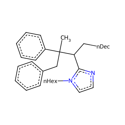 CCCCCCCCCCCC(c1nccn1CCCCCC)C(C)(Cc1ccccc1)c1ccccc1